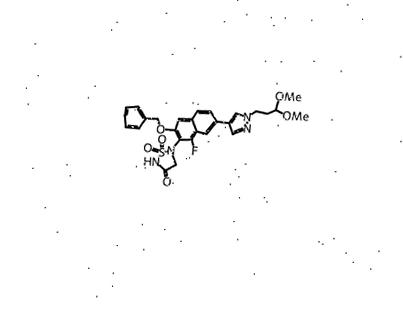 COC(CCn1cc(-c2ccc3cc(OCc4ccccc4)c(N4CC(=O)NS4(=O)=O)c(F)c3c2)cn1)OC